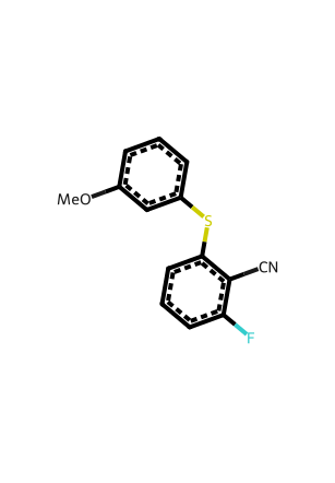 COc1cccc(Sc2cccc(F)c2C#N)c1